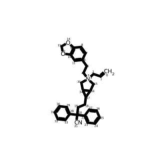 C=CC[N+]1(CCc2ccc3c(c2)OCO3)CC2C(CCC(C#N)(c3ccccc3)c3ccccc3)C2C1